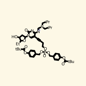 CCC1OC(n2cc(C#CCCOP(=O)(OCc3ccc(OC(=O)C(C)(C)C)cc3)OCc3ccc(OC(=O)C(C)(C)C)cc3)c(/N=C/N(CC(C)C)CC(C)C)nc2=O)CC1O